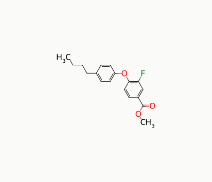 CCCCc1ccc(Oc2ccc(C(=O)OC)cc2F)cc1